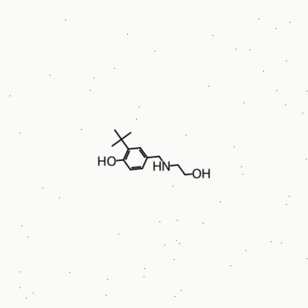 CC(C)(C)c1cc(CNCCO)ccc1O